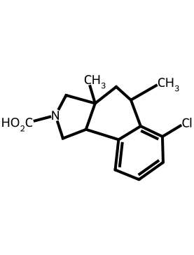 CC1CC2(C)CN(C(=O)O)CC2c2cccc(Cl)c21